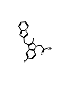 Cc1c(Cc2cn3ccccc3n2)c2cc(F)ccc2n1CC(=O)O